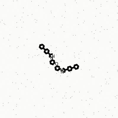 c1ccc(-c2ccc(-c3cnn(-c4cccc(Oc5cccc(-n6cc(-c7ccc(-c8ccccc8)cc7)cn6)c5)c4)c3)cc2)cc1